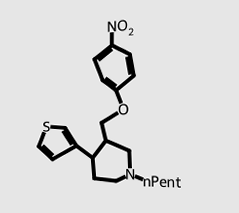 CCCCCN1CCC(c2ccsc2)C(COc2ccc([N+](=O)[O-])cc2)C1